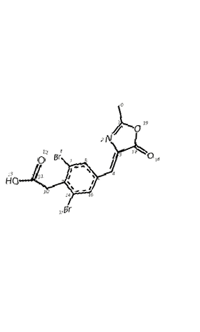 CC1=N/C(=C\c2cc(Br)c(CC(=O)O)c(Br)c2)C(=O)O1